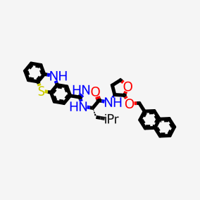 CC(C)C[C@H](NC(=N)c1ccc2c(c1)Nc1ccccc1S2)C(=O)N[C@H]1CCOC1OCc1ccc2ccccc2c1